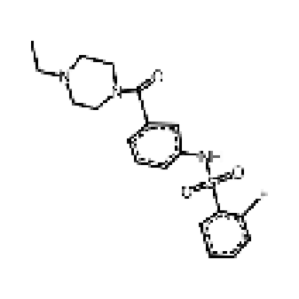 CCN1CCN(C(=O)c2cccc(NS(=O)(=O)c3ccccc3F)c2)CC1